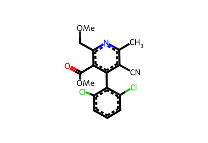 COCc1nc(C)c(C#N)c(-c2c(Cl)cccc2Cl)c1C(=O)OC